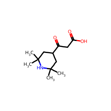 CC1(C)CC(C(=O)CC(=O)O)CC(C)(C)N1